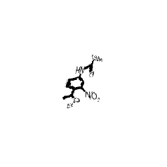 C=C(OCC)c1ccc(NC(=O)OC)cc1[N+](=O)[O-]